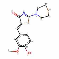 COc1cc(/C=C2\SC(N3CCSCC3)=NC2=O)ccc1O